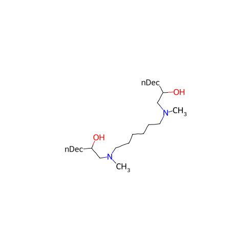 CCCCCCCCCCC(O)CN(C)CCCCCCN(C)CC(O)CCCCCCCCCC